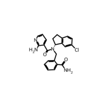 NC(=O)c1ccccc1CN(C(=O)c1cccnc1N)[C@@H]1CCc2ccc(Cl)cc21